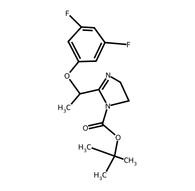 CC(Oc1cc(F)cc(F)c1)C1=NCCN1C(=O)OC(C)(C)C